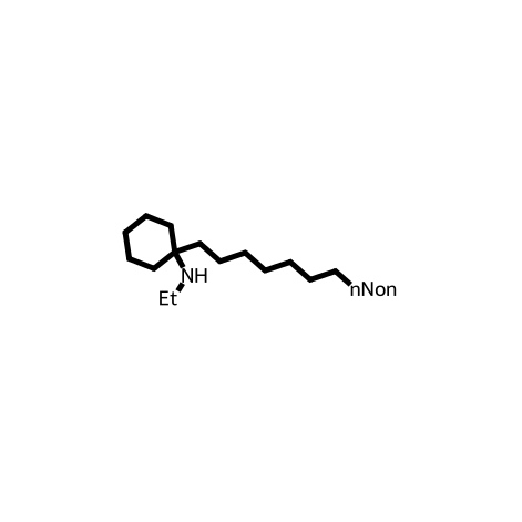 CCCCCCCCCCCCCCCCC1(NCC)CCCCC1